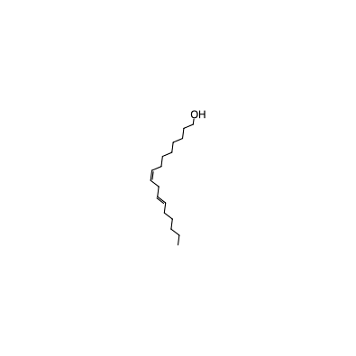 CCCCCC=CC/C=C\CCCCCCCO